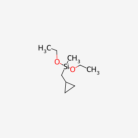 CCO[Si](C)(CC1CC1)OCC